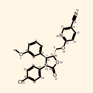 COc1cccc([C@H]2[C@H](COc3ccc(C#N)cn3)OC(=O)N2c2ccc(Cl)cc2)c1